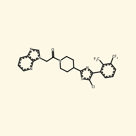 O=C(Cn1cnc2cccnc21)N1CCC(c2nc(-c3cccc(C(F)(F)F)c3C(F)(F)F)c(Cl)s2)CC1